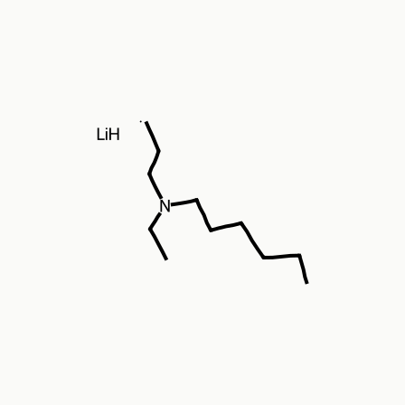 [CH2]CCN(CC)CCCCCC.[LiH]